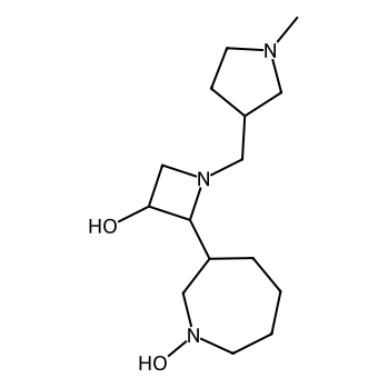 CN1CCC(CN2CC(O)C2C2CCCCN(O)C2)C1